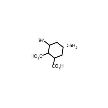 CC(C)C1CCCC(C(=O)O)C1C(=O)O.[CaH2]